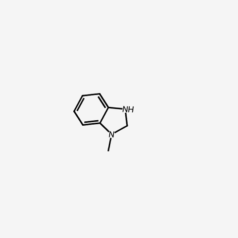 CN1CNc2ccccc21